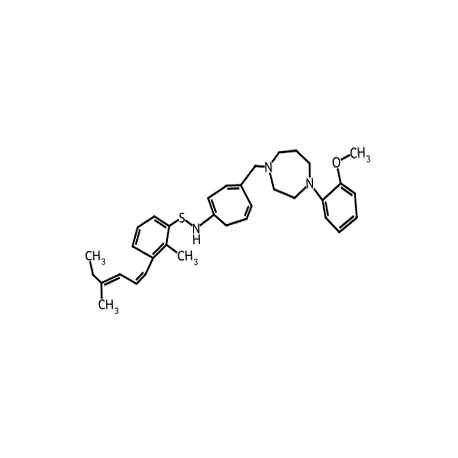 CC/C(C)=C/C=C\c1cccc(SNC2=CC=C(CN3CCCN(c4ccccc4OC)CC3)C=CC2)c1C